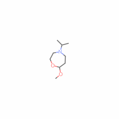 COC1CCN(C(C)C)CCO1